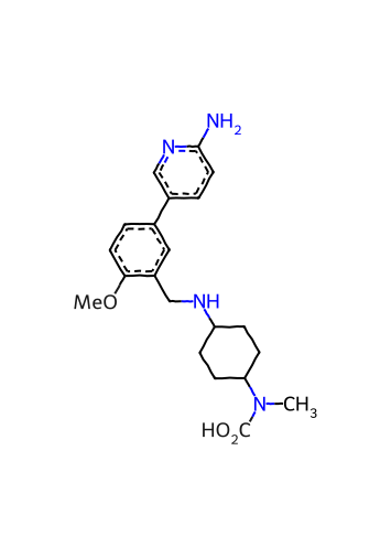 COc1ccc(-c2ccc(N)nc2)cc1CNC1CCC(N(C)C(=O)O)CC1